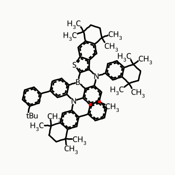 Cc1cc2c3c(c1)N(c1ccc4c(c1)C(C)(C)CCC4(C)C)c1c(sc4cc5c(cc14)C(C)(C)CCC5(C)C)B3c1ccc(-c3cccc(C(C)(C)C)c3)cc1N2c1cc2c(cc1-c1ccccc1)C(C)(C)CCC2(C)C